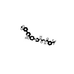 O=C(CNC(=O)c1cccc(C(F)(F)F)c1)N[C@@H]1CCN(C2CCC(O)(c3ccc(-c4ccc5c(c4)OCO5)cn3)CC2)C1